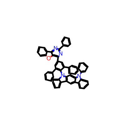 c1ccc(-c2nc(-c3cc(-c4ccccc4)c(-n4c5ccccc5c5cc6c7ccccc7n(-c7ccccc7)c6cc54)c(-c4ccccc4)c3)c3oc4ccccc4c3n2)cc1